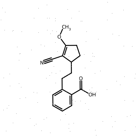 COC1=C(C#N)C(CCc2ccccc2C(=O)O)CC1